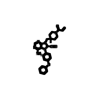 C=CC(=O)N1CCC(C)(CN2c3ncnc(N)c3N(c3ccc(Oc4ccccc4)cc3)C2C=O)CC1